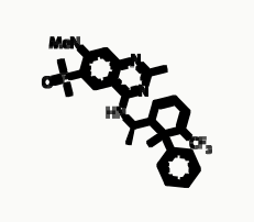 CNc1cc2nc(C)nc(N[C@H](C)C3C=CC=C(C(F)(F)F)C3(C)c3ccccc3)c2cc1P(C)(C)=O